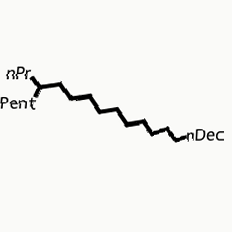 [CH2]CCC(CCCCC)CCCCCCCCCCCCCCCCCCCC